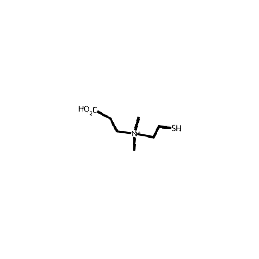 C[N+](C)(CCS)CCC(=O)O